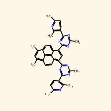 Cc1ccc(-c2nc(C)nc(-c3cc(-c4nc(C)nc(-c5ccc(C)nc5C)n4)c4ccc5c(C(F)(F)F)cc(C(F)(F)F)c6ccc3c4c65)n2)c(C)n1